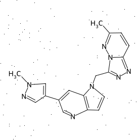 Cc1ccc2nnc(Cn3ccc4ncc(-c5cnn(C)c5)cc43)n2n1